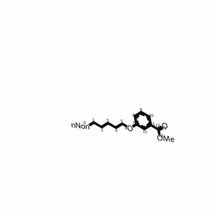 CCCCCCCCCCCCCCOc1cccc(C(=O)OC)c1